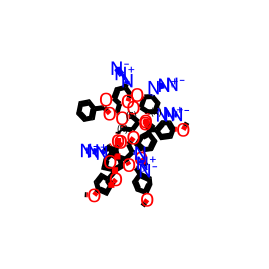 COc1ccc(COC[C@H]2O[C@@H](OC3C(OC4OC5COC(c6ccccc6)OC5=CC4N=[N+]=[N-])C(N=[N+]=[N-])C[C@@H](N=[N+]=[N-])C3OCc3ccc(OC)cc3)C(OCc3ccc(OC)cc3)C2OC2OC(CN=[N+]=[N-])C(OCc3ccc(OC)cc3)C(OCc3ccc(OC)cc3)C2N=[N+]=[N-])cc1